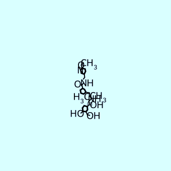 COc1ccc(CCNC(=O)c2cccc(CC(C)(C)NC[C@@H](O)c3ccc(O)c(CO)c3)c2)cn1